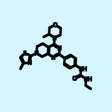 CCNC(=O)Nc1ccc(-c2nc3c(c(N4CCOCC4C)n2)CCN(c2nc(C)cs2)C3)cc1